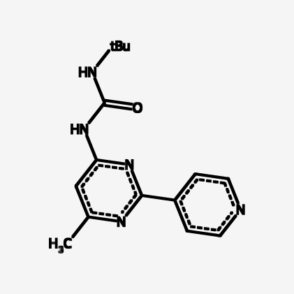 Cc1cc(NC(=O)NC(C)(C)C)nc(-c2ccncc2)n1